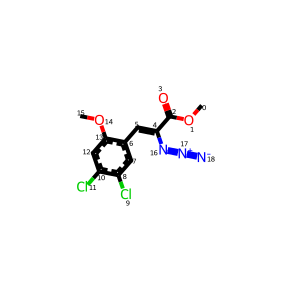 COC(=O)C(=Cc1cc(Cl)c(Cl)cc1OC)N=[N+]=[N-]